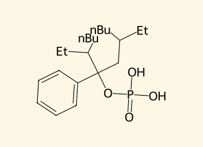 CCCCC(CC)CC(OP(=O)(O)O)(c1ccccc1)C(CC)CCCC